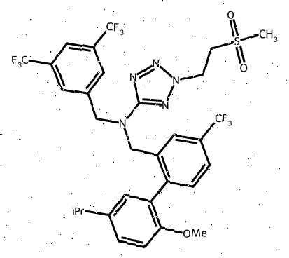 COc1ccc(C(C)C)cc1-c1ccc(C(F)(F)F)cc1CN(Cc1cc(C(F)(F)F)cc(C(F)(F)F)c1)c1nnn(CCS(C)(=O)=O)n1